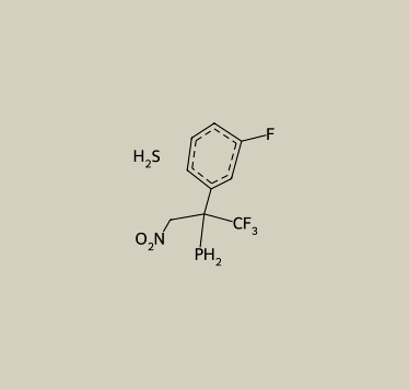 O=[N+]([O-])CC(P)(c1cccc(F)c1)C(F)(F)F.S